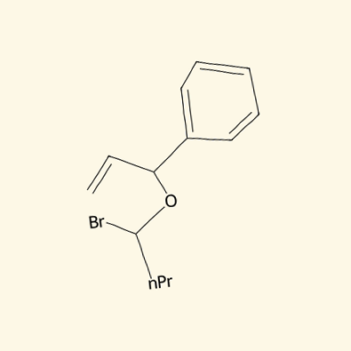 C=CC(OC(Br)CCC)c1ccccc1